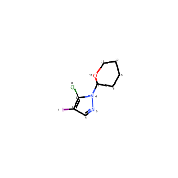 Clc1c(I)cnn1C1CCCCO1